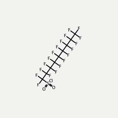 O=S(=O)(Cl)C(F)(F)C(F)(F)C(F)(F)C(F)(F)C(F)(F)C(F)(F)C(F)(F)C(F)(F)C(F)(F)F